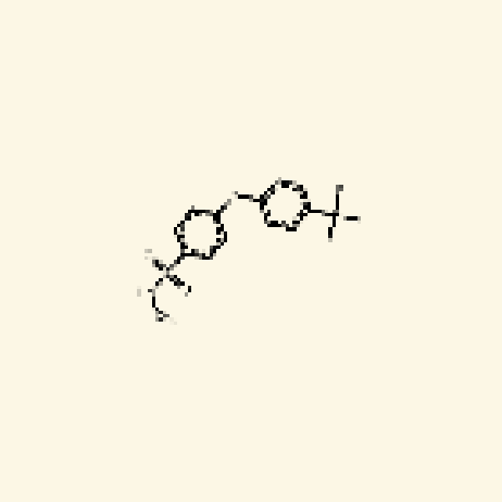 CNS(=O)(=O)c1ccc(Oc2ccc(C(F)(F)F)cn2)cc1